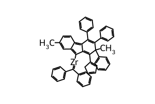 Cc1ccc2c(c1)=[C]([Zr]=[C](c1ccccc1)c1ccccc1)C1=C(C3=CC=CC3)C(C)(c3ccccc3)C(c3ccccc3)=C(c3ccccc3)C=21